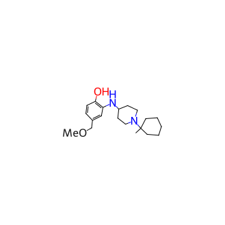 COCc1ccc(O)c(NC2CCN(C3(C)CCCCC3)CC2)c1